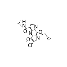 COc1c(Cl)cnc2c(OCCC3CC3)c3nccc(C(=O)NCC(C)C)c3nc12